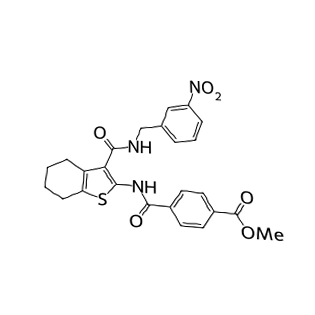 COC(=O)c1ccc(C(=O)Nc2sc3c(c2C(=O)NCc2cccc([N+](=O)[O-])c2)CCCC3)cc1